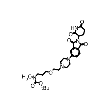 CN(CCCOCCN1CCN(c2ccc3c(c2)C(=O)N(C2CCC(=O)NC2=O)C3=O)CC1)C(=O)OC(C)(C)C